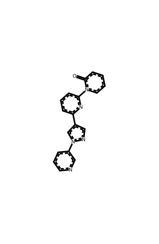 O=c1ccccn1-c1cccc(-c2cnn(-c3cccnc3)c2)n1